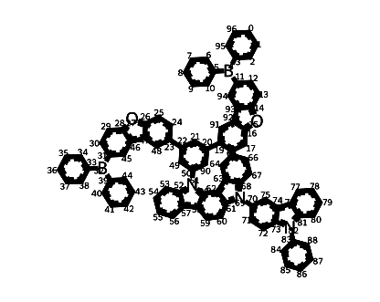 c1ccc(B(c2ccccc2)c2ccc3oc4ccc(-c5cc(-c6ccc7oc8ccc(B(c9ccccc9)c9ccccc9)cc8c7c6)cc(-n6c7ccccc7c7ccc8c(c9ccccc9n8-c8ccc9c(c8)c8ccccc8n9-c8ccccc8)c76)c5)cc4c3c2)cc1